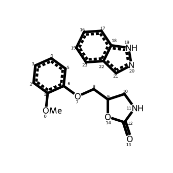 COc1ccccc1OCC1CNC(=O)O1.c1ccc2[nH]ncc2c1